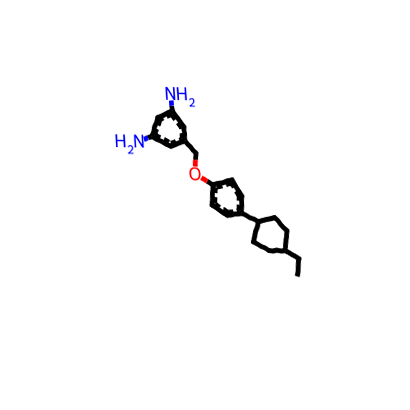 CCC1CCC(c2ccc(OCc3cc(N)cc(N)c3)cc2)CC1